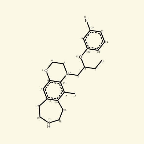 CCC(CN1CCOc2cc3c(c(C)c21)CCNCC3)Oc1cccc(F)c1